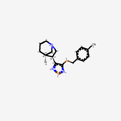 N#Cc1ccc(CSc2nsnc2[C@@H]2CN3CCC[C@H]2C3)cc1